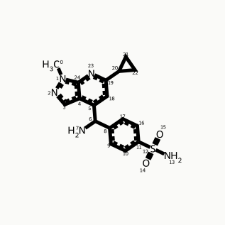 Cn1ncc2c(C(N)c3ccc(S(N)(=O)=O)cc3)cc(C3CC3)nc21